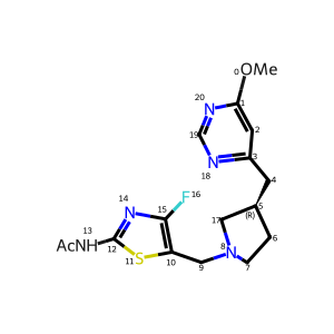 COc1cc(C[C@H]2CCN(Cc3sc(NC(C)=O)nc3F)C2)ncn1